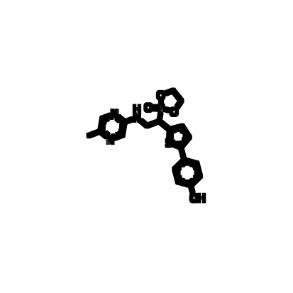 Cc1cnc(NCC(c2ccc(-c3ccc(O)cc3)s2)P2(=O)OCCO2)cn1